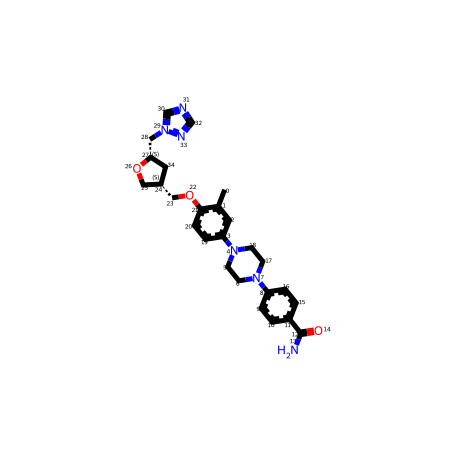 Cc1cc(N2CCN(c3ccc(C(N)=O)cc3)CC2)ccc1OC[C@@H]1CO[C@H](Cn2cncn2)C1